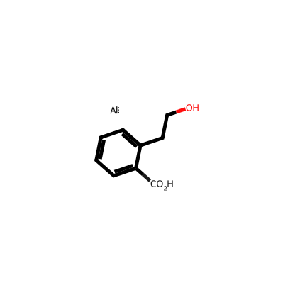 O=C(O)c1ccccc1CCO.[Al]